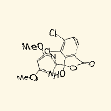 COc1cc(OC)nc(C2(O)OC(=O)c3ccc(Cl)c(Cl)c32)n1